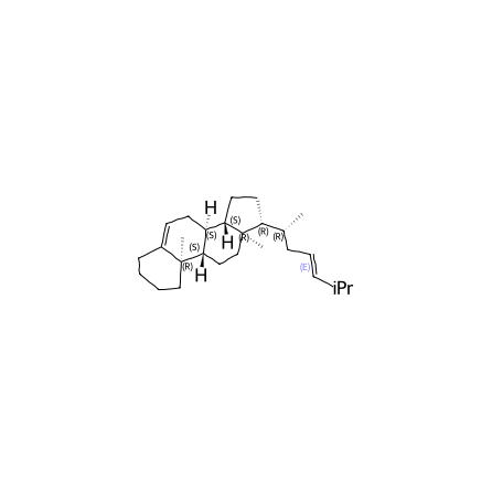 CC(C)/C=C/C[C@@H](C)[C@H]1CC[C@H]2[C@@H]3CC=C4CCCC[C@]4(C)[C@H]3CC[C@]12C